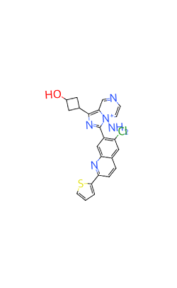 N[N+]12C=CN=CC1=C(C1CC(O)C1)N=C2c1cc2nc(-c3cccs3)ccc2cc1Cl